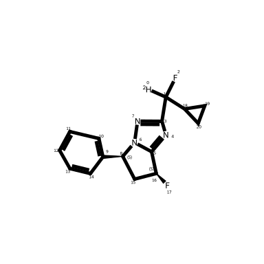 [2H]C(F)(c1nc2n(n1)[C@H](c1ccccc1)C[C@@H]2F)C1CC1